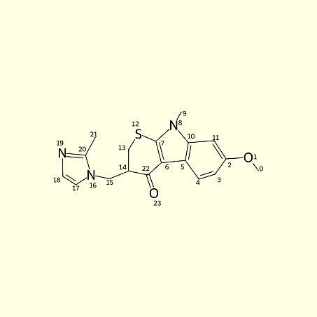 COc1ccc2c3c(n(C)c2c1)SCC(Cn1ccnc1C)C3=O